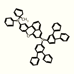 CC1(N(c2ccccc2)c2ccc3c(c2)-c2cccc4cc(N(c5ccc(-c6ccccc6)c(-c6ccccc6)c5)c5ccc(-c6ccccc6)c(-c6ccccc6)c5)cc(c24)O3)C=CC=CC1